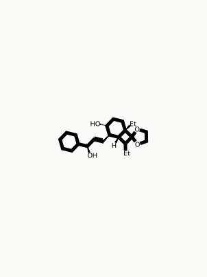 CCC1[C@@H]2[C@@H](/C=C/[C@@H](O)C3CCCCC3)[C@H](O)CC[C@]2(CC)C12OCCO2